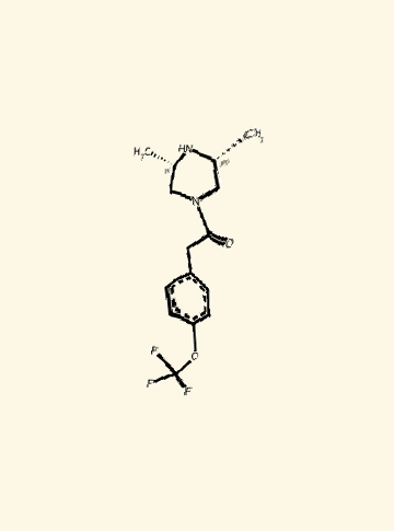 C[C@@H]1CN(C(=O)Cc2ccc(OC(F)(F)F)cc2)C[C@H](C)N1